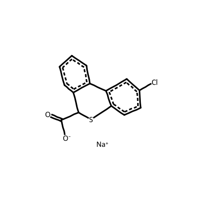 O=C([O-])C1Sc2ccc(Cl)cc2-c2ccccc21.[Na+]